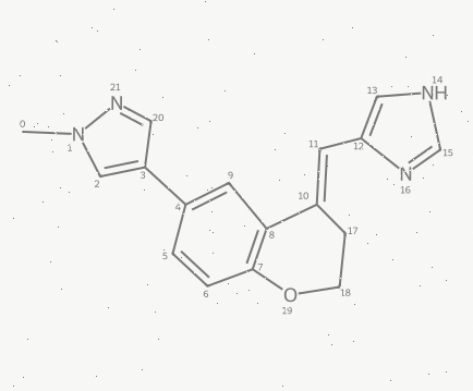 Cn1cc(-c2ccc3c(c2)/C(=C/c2c[nH]cn2)CCO3)cn1